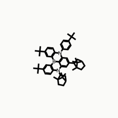 CC(C)(C)c1ccc(N2c3ccc(C(C)(C)C)cc3B3c4cc(C(C)(C)C)ccc4N(C4CC5CCC4(C)C5(C)C)c4cc(C5CC6CCC5(C)C6(C)C)cc2c43)cc1